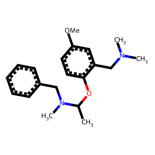 COc1ccc(OC(C)N(C)Cc2ccccc2)c(CN(C)C)c1